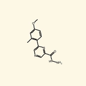 COc1ccc(-c2cncc(C(=O)NN)n2)c(C)c1